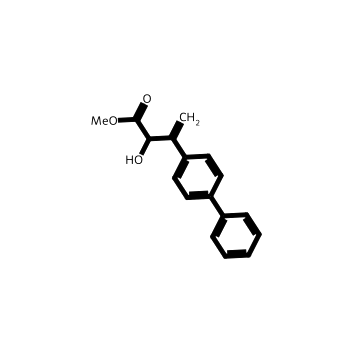 C=C(c1ccc(-c2ccccc2)cc1)C(O)C(=O)OC